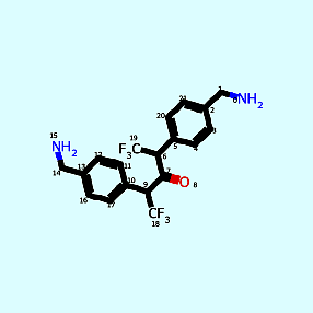 NCc1ccc(C(C(=O)C(c2ccc(CN)cc2)C(F)(F)F)C(F)(F)F)cc1